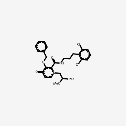 COC(Cn1ccc(=O)c(OCc2ccccc2)c1C(=O)NCCCc1c(Cl)cccc1Cl)OC